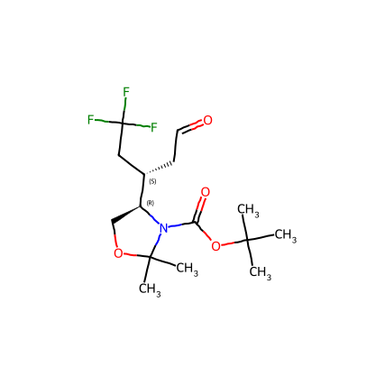 CC(C)(C)OC(=O)N1[C@H]([C@@H](CC=O)CC(F)(F)F)COC1(C)C